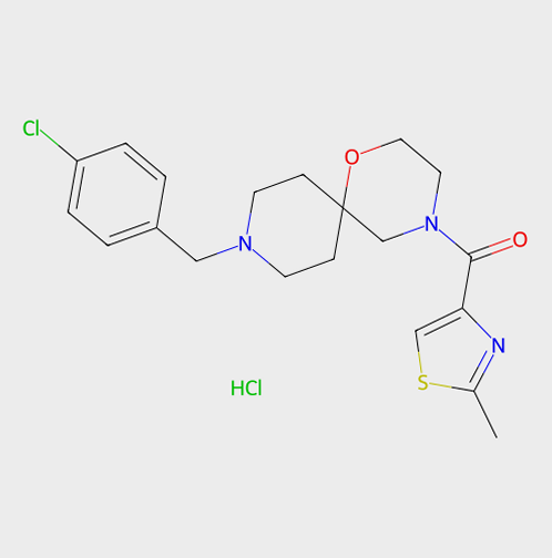 Cc1nc(C(=O)N2CCOC3(CCN(Cc4ccc(Cl)cc4)CC3)C2)cs1.Cl